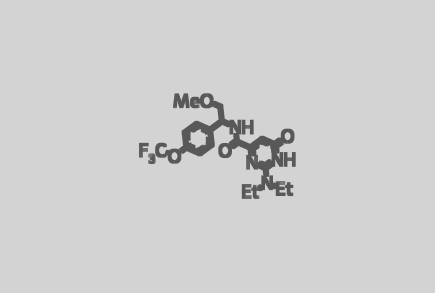 CCN(CC)c1nc(C(=O)NC(COC)c2ccc(OC(F)(F)F)cc2)cc(=O)[nH]1